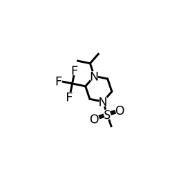 CC(C)N1CCN(S(C)(=O)=O)CC1C(F)(F)F